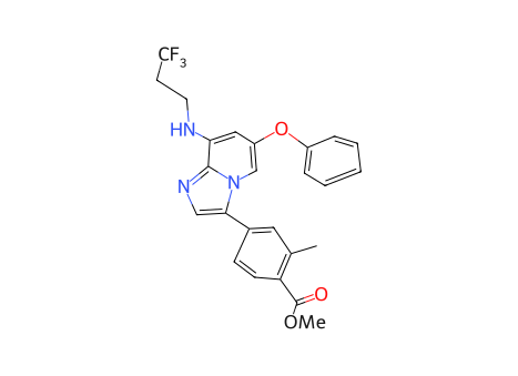 COC(=O)c1ccc(-c2cnc3c(NCCC(F)(F)F)cc(Oc4ccccc4)cn23)cc1C